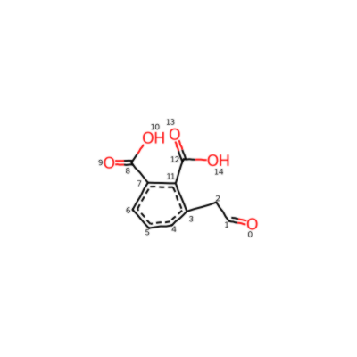 O=CCc1cccc(C(=O)O)c1C(=O)O